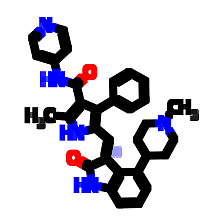 Cc1[nH]c(/C=C2\C(=O)Nc3cccc(C4CCN(C)CC4)c32)c(-c2ccccc2)c1C(=O)Nc1ccncc1